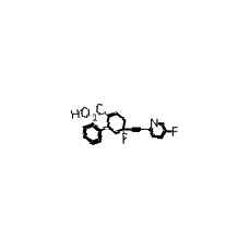 O=C(O)[C@@H]1CC[C@@](F)(C#Cc2ccc(F)cn2)C[C@H]1c1ccccc1